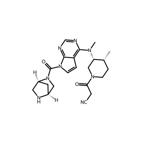 C[C@@H]1CCN(C(=O)CC#N)C[C@@H]1N(C)c1ncnc2c1ccn2C(=O)N1C[C@@H]2C[C@H]1CN2